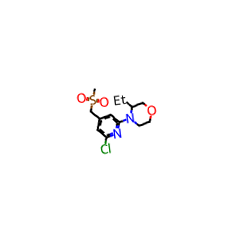 CCC1COCCN1c1cc(CS(C)(=O)=O)cc(Cl)n1